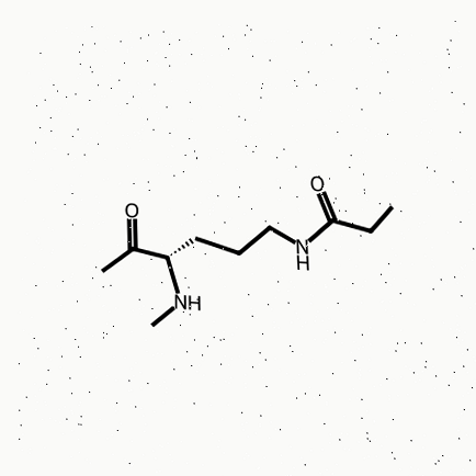 CCC(=O)NCCC[C@H](NC)C(C)=O